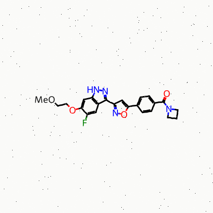 COCCOc1cc2[nH]nc(-c3cc(-c4ccc(C(=O)N5CCC5)cc4)on3)c2cc1F